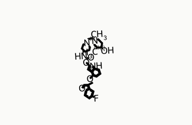 C[C@H]1CN([C@@H](C)CN2CCC(NC(=O)Oc3cc4c(OCc5coc6ccc(F)cc56)cccc4[nH]3)CC2)CC[C@@H]1O